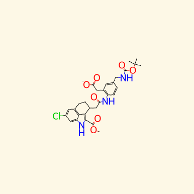 COC(=O)Cc1cc(CNC(=O)OC(C)(C)C)ccc1NC(=O)CC1CCc2cc(Cl)cc3[nH]c(C(=O)OC)c1c23